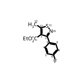 CCOC(=O)c1c(-c2ccc(F)cc2)nsc1C